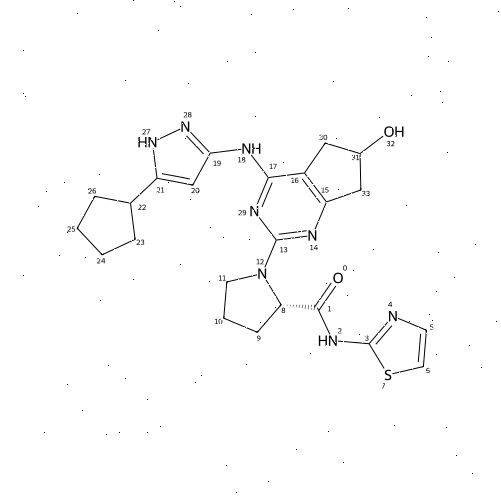 O=C(Nc1nccs1)[C@@H]1CCCN1c1nc2c(c(Nc3cc(C4CCCC4)[nH]n3)n1)CC(O)C2